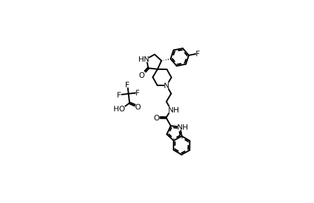 O=C(NCCN1CCC2(CC1)C(=O)NC[C@@H]2c1ccc(F)cc1)c1cc2ccccc2[nH]1.O=C(O)C(F)(F)F